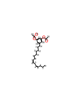 CCC/C=C\C/C=C\CCCCCCCc1cc(OC(C)=O)cc(OC(C)=O)c1